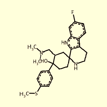 CSc1ccc(C2(O)CCC3(CC2CN(C)C)NCCc2c3[nH]c3cc(F)ccc23)cc1